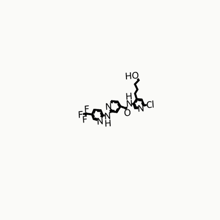 O=C(Nc1cnc(Cl)cc1CCCCO)c1ccnc(Nc2ccc(C(F)(F)F)cn2)c1